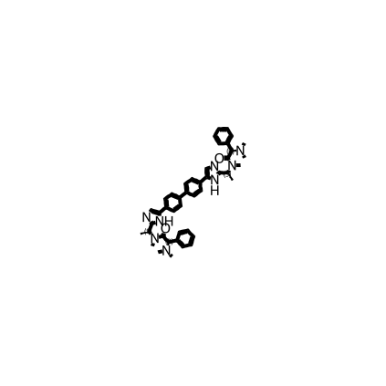 C[C@@H](c1ncc(-c2ccc(-c3ccc(-c4cnc([C@H](C)N(C)C(=O)[C@@H](c5ccccc5)N(C)C)[nH]4)cc3)cc2)[nH]1)N(C)C(=O)[C@@H](c1ccccc1)N(C)C